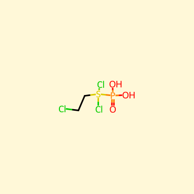 O=P(O)(O)S(Cl)(Cl)CCCl